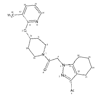 CC(=O)c1nn(CC(=O)N2CCC(Oc3ncccc3C)CC2)c2c1CCCC2